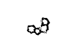 c1ccc2c(c1)cc1ncc3cccnc3n12